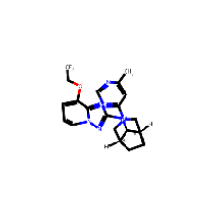 Cc1cc(N2C[C@H]3CC[C@@H](C2)C3Nc2nc3c(OCC(F)(F)F)cccn3n2)ncn1